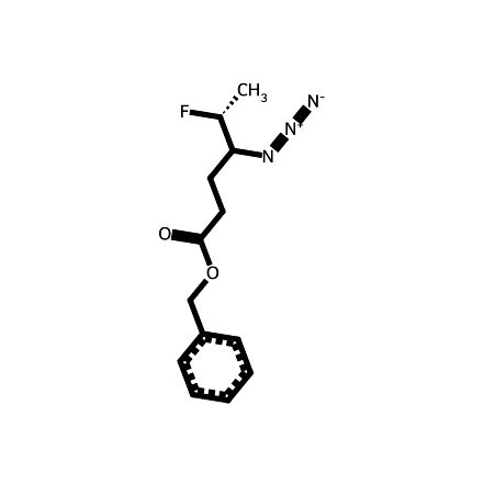 C[C@@H](F)C(CCC(=O)OCc1ccccc1)N=[N+]=[N-]